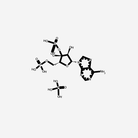 Nc1ncnc2c1ncn2[C@@H]1O[C@H](COP(=O)(O)O)[C@](O)(OS(=O)(=O)O)[C@H]1O.O=P(O)(O)O